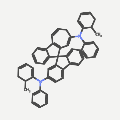 CC1CC=CC=C1N(C1=CC2=C(C=CC1)c1ccccc1C21c2ccccc2-c2ccc(N(C3=CC=CCC3C)c3ccccc3)cc21)c1ccccc1